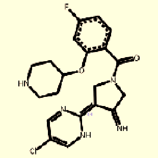 N=C1CN(C(=O)c2ccc(F)cc2OC2CCNCC2)C/C1=C1\N=CC(Cl)=CN1